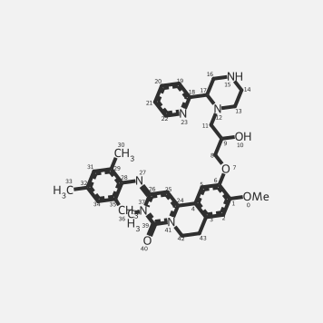 COc1cc2c(cc1OCC(O)CN1CCNCC1c1ccccn1)-c1cc(=Nc3c(C)cc(C)cc3C)n(C)c(=O)n1CC2